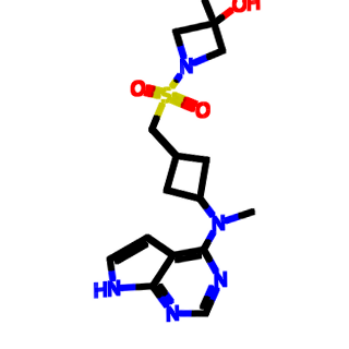 CN(c1ncnc2[nH]ccc12)C1CC(CS(=O)(=O)N2CC(C)(O)C2)C1